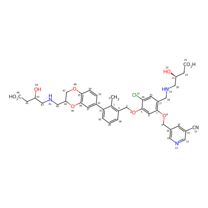 Cc1c(COc2cc(OCc3cncc(C#N)c3)c(CNC[C@@H](O)CC(=O)O)cc2Cl)cccc1-c1ccc2c(c1)OC(CNCC(O)CC(=O)O)CO2